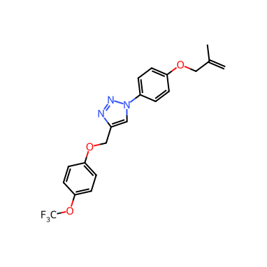 C=C(C)COc1ccc(-n2cc(COc3ccc(OC(F)(F)F)cc3)nn2)cc1